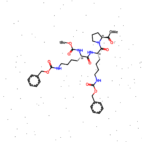 COC(=O)[C@@H]1CCCN1C(=O)[C@H](CCCCNC(=O)OCc1ccccc1)NC(=O)[C@H](CCCCNC(=O)OCc1ccccc1)NC(=O)OC(C)(C)C